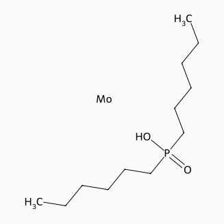 CCCCCCP(=O)(O)CCCCCC.[Mo]